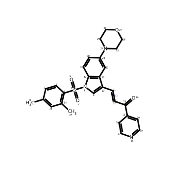 Cc1ccc(S(=O)(=O)n2cc(/C=C/C(=O)c3ccncc3)c3cc(N4CCOCC4)ccc32)c(C)c1